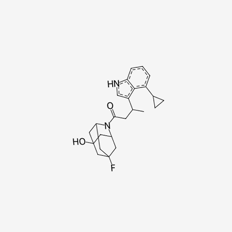 CC(CC(=O)N1C2CC3(O)CC1CC(F)(C2)C3)c1c[nH]c2cccc(C3CC3)c12